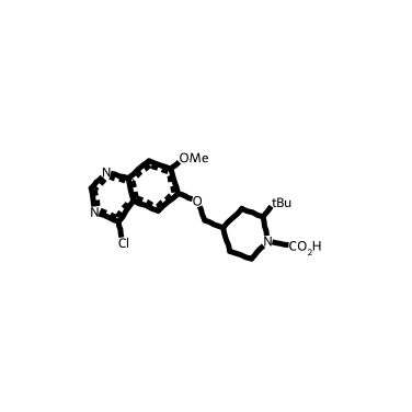 COc1cc2ncnc(Cl)c2cc1OCC1CCN(C(=O)O)C(C(C)(C)C)C1